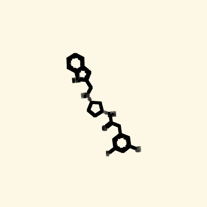 O=C(Cc1cc(F)cc(Cl)c1)N[C@@H]1CC[C@H](NCc2cc3ccccc3[nH]2)C1